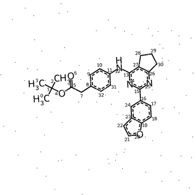 CC(C)(C)OC(=O)Cc1ccc(Nc2nc(-c3ccc4occc4c3)nc3c2CCC3)cc1